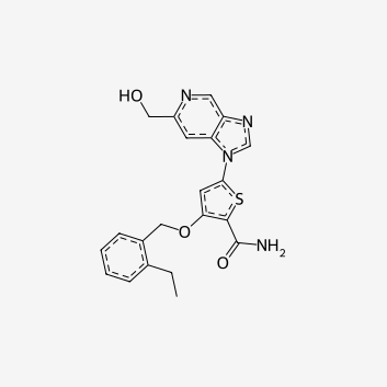 CCc1ccccc1COc1cc(-n2cnc3cnc(CO)cc32)sc1C(N)=O